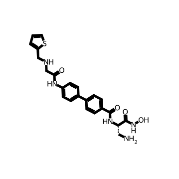 NC[C@H](NC(=O)c1ccc(-c2ccc(NC(=O)CNCc3cccs3)cc2)cc1)C(=O)NO